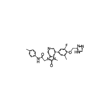 Cc1ccc(NC(=O)Cn2c(=O)n(C)c3c(-c4cc(C)c(OCc5nnc[nH]5)c(F)c4)cncc32)cc1